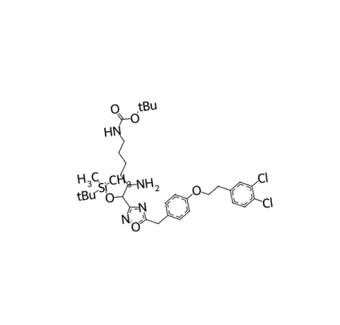 CC(C)(C)OC(=O)NCCCCC(N)C(O[Si](C)(C)C(C)(C)C)c1noc(Cc2ccc(OCCc3ccc(Cl)c(Cl)c3)cc2)n1